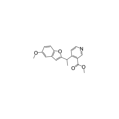 COC(=O)c1cnccc1C(C)c1cc2cc(OC)ccc2o1